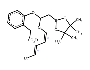 CC/C=C/C=C\OC(CB1OC(C)(C)C(C)(C)O1)Oc1ccccc1CC(=O)OCC